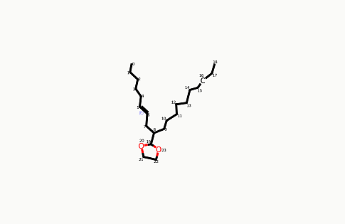 CCCCC/C=C/CC(CCCCCCCCCC)C1OCCO1